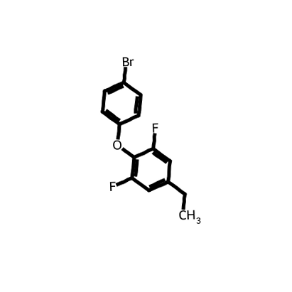 CCc1cc(F)c(Oc2ccc(Br)cc2)c(F)c1